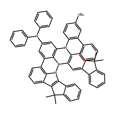 CCCCc1ccc(N2c3cc4c(cc3B3c5c(cc(N(c6ccccc6)c6ccccc6)cc52)-c2cccc5c6c(n3c25)-c2ccccc2C6(C)C)-c2ccccc2C4(C)C)c(-c2ccccc2)c1